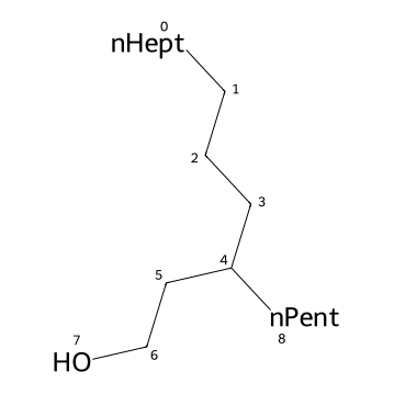 CCCCCCCCCCC(CCO)CCCCC